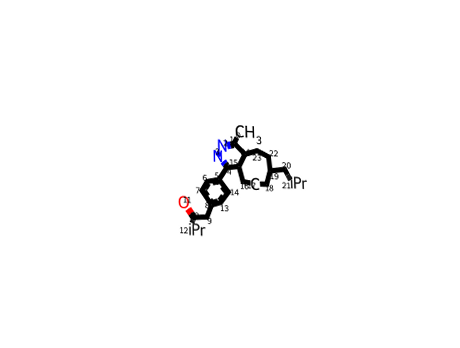 CC1=NN=C(c2ccc(CC(=O)C(C)C)cc2)C2CCCC(CC(C)C)CCC12